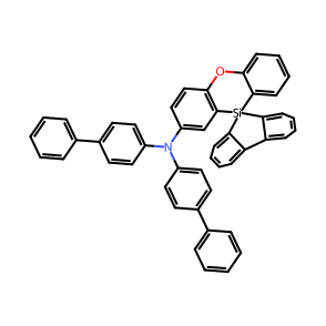 c1ccc(-c2ccc(N(c3ccc(-c4ccccc4)cc3)c3ccc4c(c3)[Si]3(c5ccccc5O4)c4ccccc4-c4ccccc43)cc2)cc1